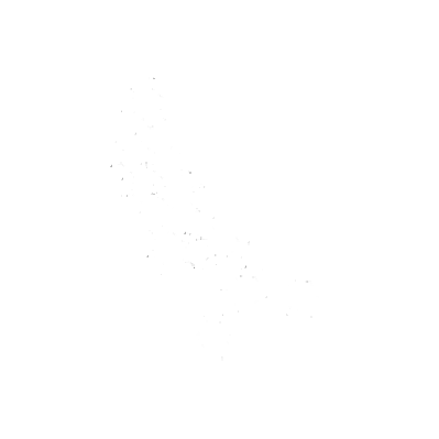 c1ccc(-c2cc(-c3ccccc3)cc(-c3cccc4c3oc3cccc(-c5ccc6ccc7c(-c8ccccc8)ccc8ccc5c6c87)c34)c2)cc1